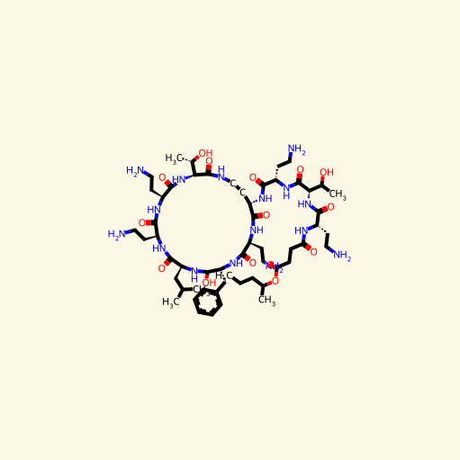 CCCC(C)OC(=O)CCC(=O)N[C@@H](CCN)C(=O)N[C@H](C(=O)N[C@@H](CCN)C(=O)N[C@H]1CCNC(=O)[C@H]([C@H](C)O)NC(=O)[C@H](CCN)NC(=O)[C@H](CCN)NC(=O)[C@H](CC(C)C)NC(O)[C@@H](Cc2ccccc2)NC(=O)[C@H](CCN)NC1=O)C(C)O